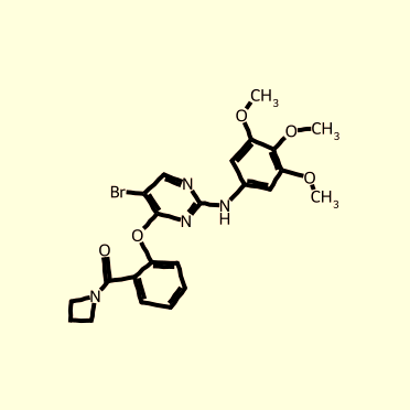 COc1cc(Nc2ncc(Br)c(Oc3ccccc3C(=O)N3CCC3)n2)cc(OC)c1OC